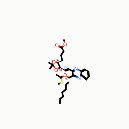 CCCCCCC[C@H](OC(C)SC)c1nc2ccccc2nc1/C=C/[C@H]1OC(C)(C)O[C@H]1CCCC(=O)OC